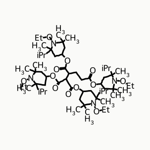 CCON1C(C)(C)CC(OC(=O)CCC(C(=O)OC2CC(C)(C)N(OCC)C(C)(C(C)C)C2)C(C(=O)OC2CC(C)(C)N(OCC)C(C)(C(C)C)C2)C(=O)OC2CC(C)(C)N(OCC)C(C)(C(C)C)C2)CC1(C)C(C)C